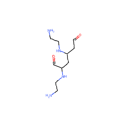 NCCNC(C=O)CC(CC=O)NCCN